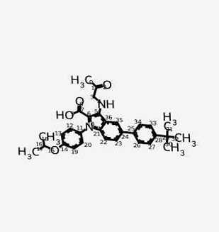 CC(=O)CNc1c(C(=O)O)n(-c2ccc(OC(C)C)cc2)c2ccc(-c3ccc(C(C)(C)C)cc3)cc12